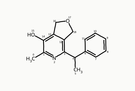 Cc1nc(C(C)c2ccccc2)c2c(c1O)COC2